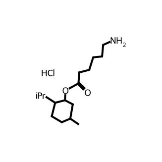 CC1CCC(C(C)C)C(OC(=O)CCCCCN)C1.Cl